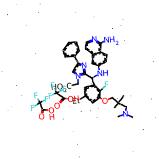 CCc1cc(OCC(C)(C)CN(C)C)c(F)c(C(Nc2ccc3c(N)nccc3c2)c2nc(-c3ccccc3)cn2CC(=O)O)c1.O=C(O)C(F)(F)F.O=C(O)C(F)(F)F